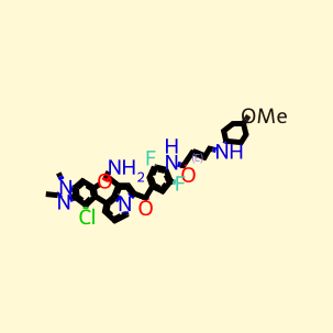 COC1CCC(NC/C=C/C(=O)Nc2c(F)cc(C(=O)c3cc(C(N)=O)c4c(-c5c(C)cc6c(nc(C)n6C)c5Cl)cccn34)cc2F)CC1